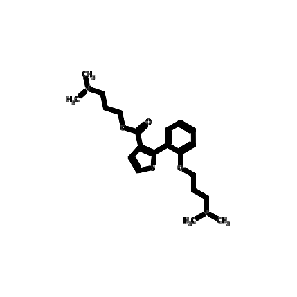 CN(C)CCCOC(=O)c1ccsc1-c1ccccc1OCCCN(C)C